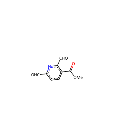 COC(=O)c1ccc(C=O)nc1C=O